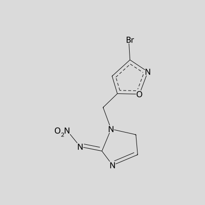 O=[N+]([O-])N=C1N=CCN1Cc1cc(Br)no1